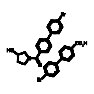 O=C(O)c1ccc(-c2ccc(Br)cc2)cc1.O=C(c1ccc(-c2ccc(Br)cc2)cc1)N1CCC(O)C1